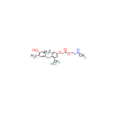 CNCCOC(=O)COc1cc(C)c(Cc2ccc(O)c(C)c2)c(C)c1.Cl